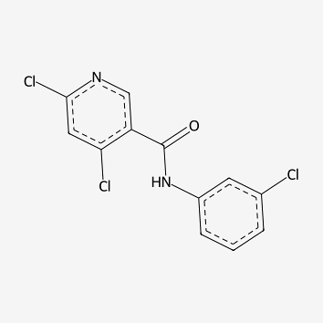 O=C(Nc1cccc(Cl)c1)c1cnc(Cl)cc1Cl